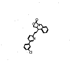 O=C1OCC2C(/C=C/c3ccc(-c4cccc(Cl)c4)cn3)c3ccccc3CN12